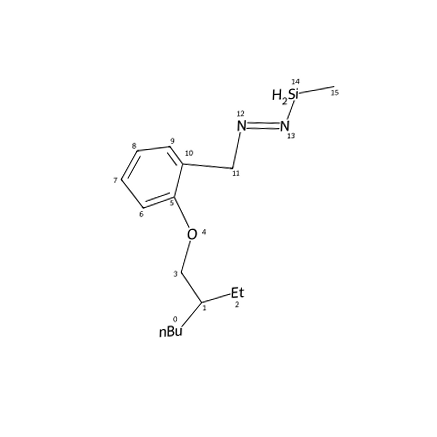 CCCCC(CC)COc1ccccc1CN=N[SiH2]C